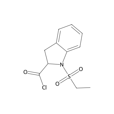 CCS(=O)(=O)N1c2ccccc2CC1C(=O)Cl